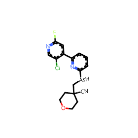 N#CC1(C[AsH]c2cccc(-c3cc(F)ncc3Cl)n2)CCOCC1